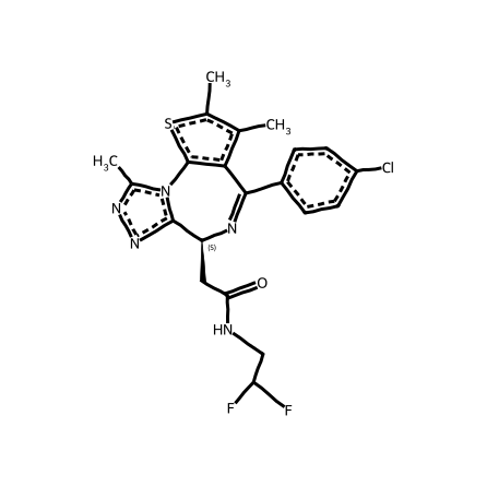 Cc1sc2c(c1C)C(c1ccc(Cl)cc1)=N[C@@H](CC(=O)NCC(F)F)c1nnc(C)n1-2